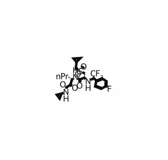 CCC[C@H](NC(=O)[C@H](CS(=O)(=O)CC1CC1)N[C@@H](c1ccc(F)cc1)C(F)(F)F)C(=O)C(=O)NC1CC1